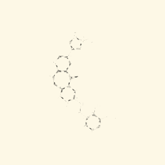 Cc1cccc(CNc2cc3c(=O)c4cc(-c5cnn(C)c5)cnc4ccc3cn2)c1C